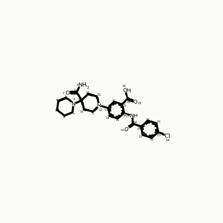 NC(=O)C1(N2CCCCC2)CCN(c2ccc(NC(=O)c3ccc(Cl)cc3)c(C(=O)O)c2)CC1